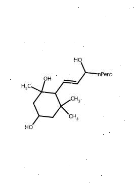 CCCCCC(O)C=CC1C(C)(C)CC(O)CC1(C)O